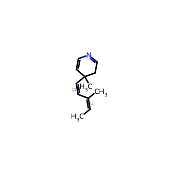 C/C=C(C)\C=C/C1(C)C=CN=CC1